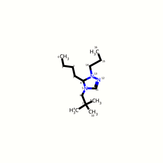 CCCCC1N(CC(C)(C)C)C=NN1CCC